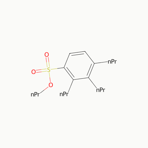 CCCOS(=O)(=O)c1ccc(CCC)c(CCC)c1CCC